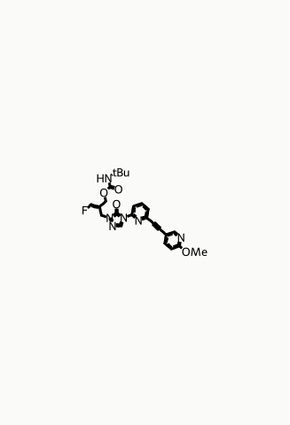 COc1ccc(C#Cc2cccc(-n3cnn(C/C(=C\F)COC(=O)NC(C)(C)C)c3=O)n2)cn1